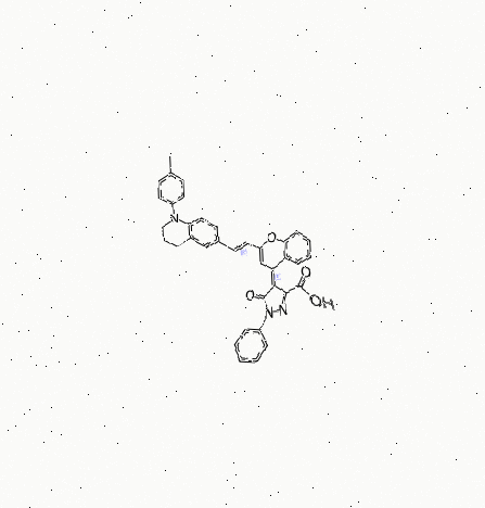 Cc1ccc(N2CCCc3cc(/C=C/C4=CC(=C5\C(=O)N(c6ccccc6)N=C5C(=O)O)/c5ccccc5O4)ccc32)cc1